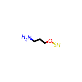 NCCCOS